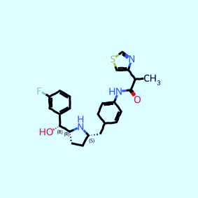 CC(C(=O)NC1=CCC(C[C@@H]2CC[C@H]([C@H](O)c3cccc(F)c3)N2)C=C1)c1cscn1